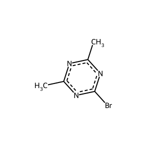 Cc1nc(C)nc(Br)n1